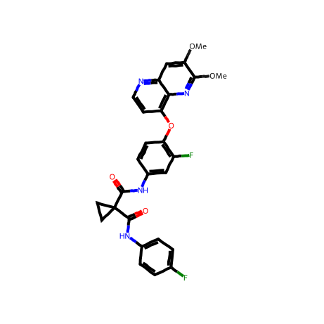 COc1cc2nccc(Oc3ccc(NC(=O)C4(C(=O)Nc5ccc(F)cc5)CC4)cc3F)c2nc1OC